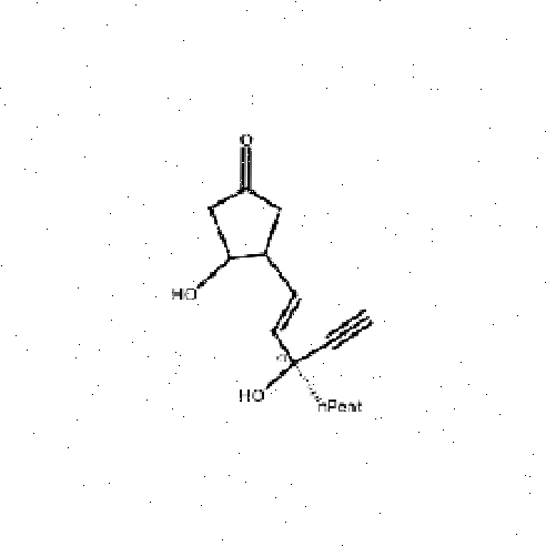 C#C[C@@](O)(C=CC1CC(=O)CC1O)CCCCC